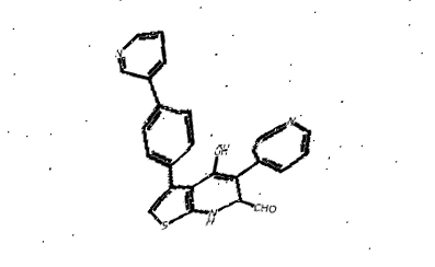 O=CC1Nc2scc(-c3ccc(-c4cccnc4)cc3)c2C(O)=C1c1cccnc1